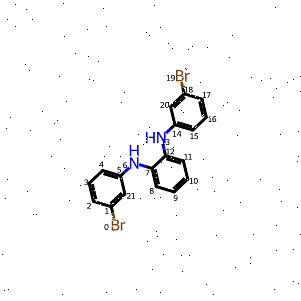 Brc1cccc(Nc2ccccc2Nc2cccc(Br)c2)c1